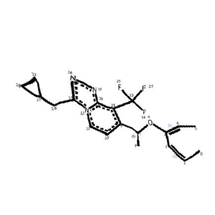 C/C=C\C(=C/C)O[C@@H](C)c1ccn2c(CC3CC3)nnc2c1C(F)(F)F